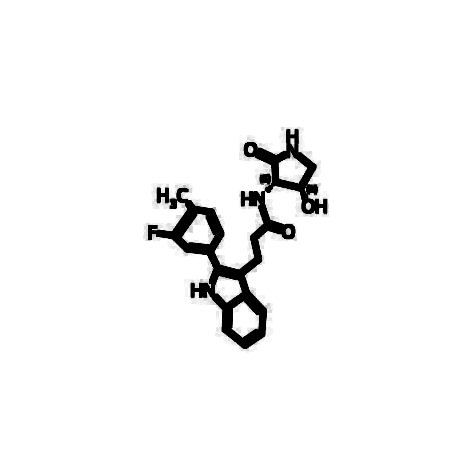 Cc1ccc(-c2[nH]c3ccccc3c2CCC(=O)N[C@@H]2C(=O)NC[C@H]2O)cc1F